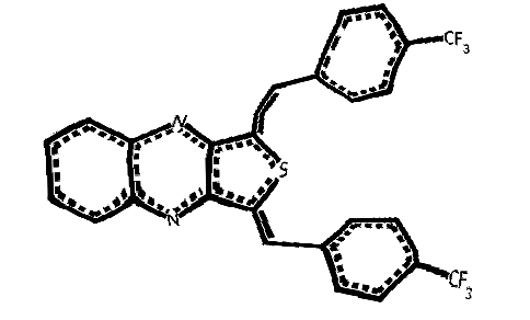 FC(F)(F)c1ccc(/C=c2\s/c(=C\c3ccc(C(F)(F)F)cc3)c3nc4ccccc4nc23)cc1